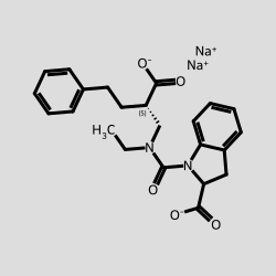 CCN(C[C@H](CCc1ccccc1)C(=O)[O-])C(=O)N1c2ccccc2CC1C(=O)[O-].[Na+].[Na+]